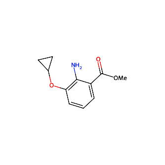 COC(=O)c1cccc(OC2CC2)c1N